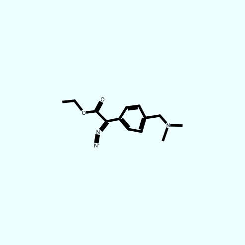 CCOC(=O)C(=[N+]=[N-])c1ccc(CN(C)C)cc1